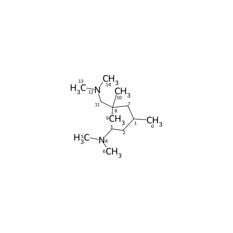 CC(CCN(C)C)CC(C)(C)CN(C)C